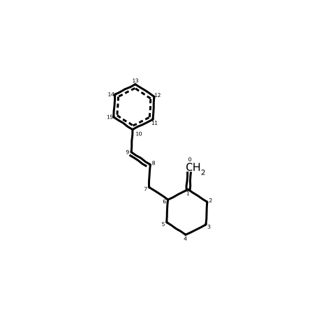 C=C1CCCCC1C/C=C/c1ccccc1